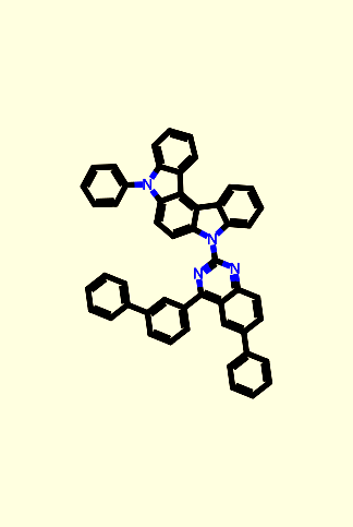 c1ccc(-c2cccc(-c3nc(-n4c5ccccc5c5c6c7ccccc7n(-c7ccccc7)c6ccc54)nc4ccc(-c5ccccc5)cc34)c2)cc1